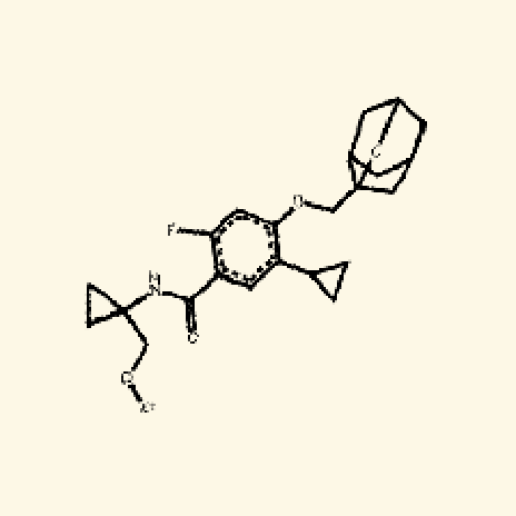 CCOCC1(NC(=O)c2cc(C3CC3)c(OCC34CC5CC(CC3C5)C4)cc2F)CC1